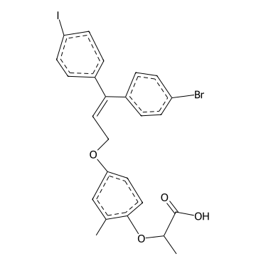 Cc1cc(OC/C=C(\c2ccc(Br)cc2)c2ccc(I)cc2)ccc1OC(C)C(=O)O